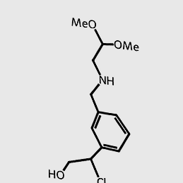 COC(CNCc1cccc(C(Cl)CO)c1)OC